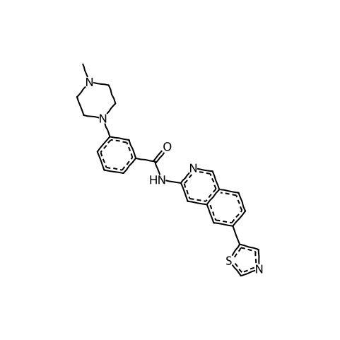 CN1CCN(c2cccc(C(=O)Nc3cc4cc(-c5cncs5)ccc4cn3)c2)CC1